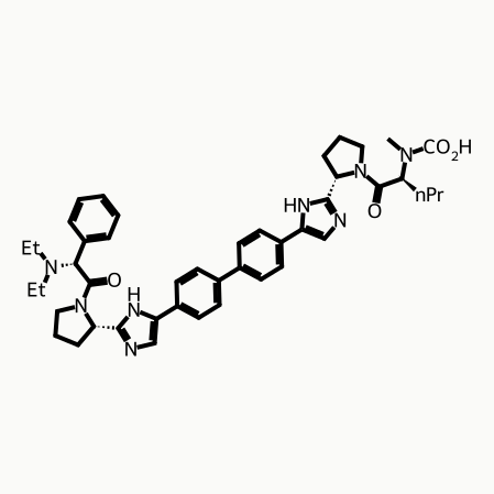 CCC[C@@H](C(=O)N1CCC[C@H]1c1ncc(-c2ccc(-c3ccc(-c4cnc([C@@H]5CCCN5C(=O)[C@@H](c5ccccc5)N(CC)CC)[nH]4)cc3)cc2)[nH]1)N(C)C(=O)O